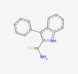 NC(=S)c1[nH]c2ccccc2c1-c1ccccc1